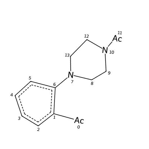 CC(=O)c1ccccc1N1CCN(C(C)=O)CC1